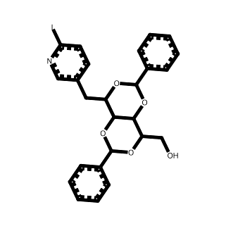 OCC1OC(c2ccccc2)OC2C(Cc3ccc(I)nc3)OC(c3ccccc3)OC12